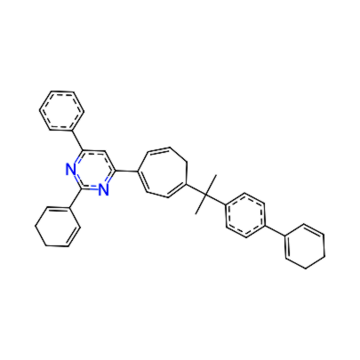 CC(C)(C1=CC=C(c2cc(-c3ccccc3)nc(C3=CCCC=C3)n2)C=CC1)c1ccc(C2=CCCC=C2)cc1